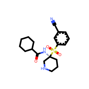 N#Cc1cccc(S(=O)(=O)[C@@]2(NC(=O)C3CCCCC3)CCCNC2)c1